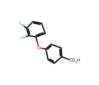 O=C(O)c1ccc(Oc2cccc(F)c2F)cc1